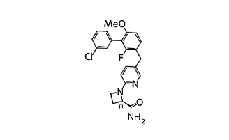 COc1ccc(Cc2ccc(N3CC[C@@H]3C(N)=O)nc2)c(F)c1-c1cccc(Cl)c1